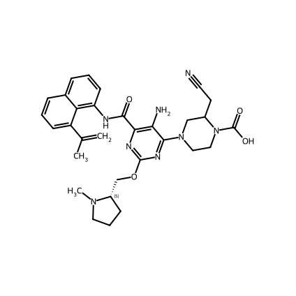 C=C(C)c1cccc2cccc(NC(=O)c3nc(OC[C@@H]4CCCN4C)nc(N4CCN(C(=O)O)C(CC#N)C4)c3N)c12